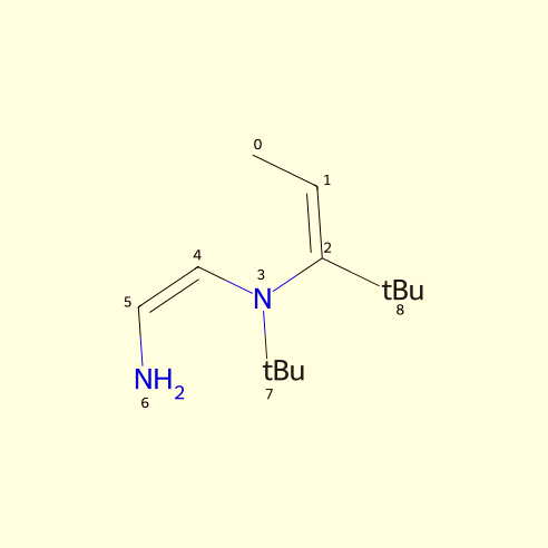 C/C=C(\N(/C=C\N)C(C)(C)C)C(C)(C)C